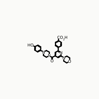 O=C(O)c1ccc(-c2cc(C(=O)N3CCN(c4ccc(O)cc4)CC3)cc(N3CCOCC3)n2)cc1